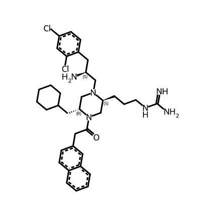 N=C(N)NCCC[C@H]1CN(C(=O)Cc2ccc3ccccc3c2)[C@H](CC2CCCCC2)CN1C[C@@H](N)Cc1ccc(Cl)cc1Cl